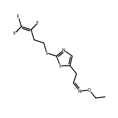 CCO/N=C\Cc1cnc(SCCC(F)=C(F)F)s1